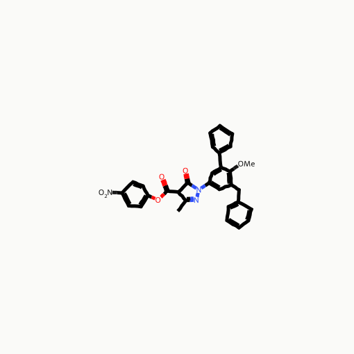 COc1c(Cc2ccccc2)cc(N2N=C(C)C(C(=O)Oc3ccc([N+](=O)[O-])cc3)C2=O)cc1-c1ccccc1